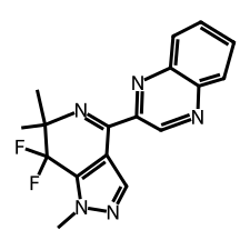 Cn1ncc2c1C(F)(F)C(C)(C)N=C2c1cnc2ccccc2n1